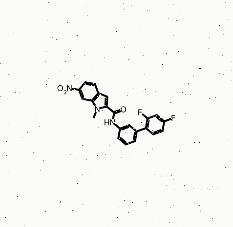 Cn1c(C(=O)Nc2cccc(-c3ccc(F)cc3F)c2)cc2ccc([N+](=O)[O-])cc21